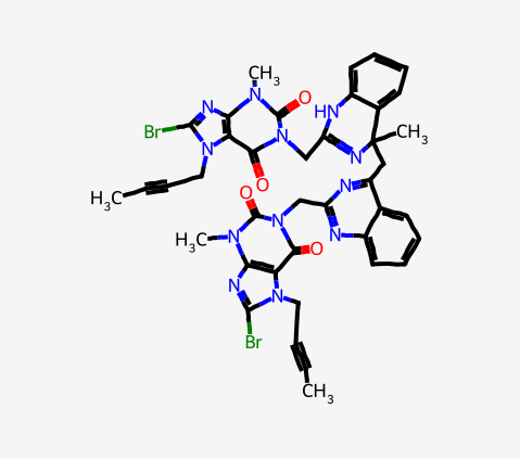 CC#CCn1c(Br)nc2c1c(=O)n(CC1=NC(C)(Cc3nc(Cn4c(=O)c5c(nc(Br)n5CC#CC)n(C)c4=O)nc4ccccc34)c3ccccc3N1)c(=O)n2C